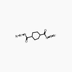 [N-]=[N+]=NC(=O)C1CCC(C(=O)N=[N+]=[N-])CC1